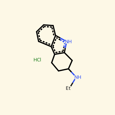 CCNC1CCc2c([nH]c3ccccc23)C1.Cl